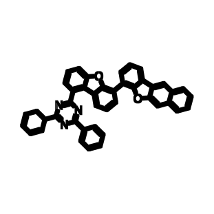 C1=CCC(c2nc(-c3ccccc3)nc(-c3cccc4oc5c(-c6cccc7c6oc6cc8ccccc8cc67)cccc5c34)n2)C=C1